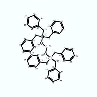 c1ccc(C[Si](Cc2ccccc2)(Cc2ccccc2)O[Si]O[Si](Cc2ccccc2)(Cc2ccccc2)Cc2ccccc2)cc1